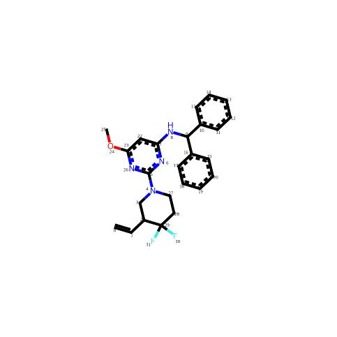 C=CC1CN(c2nc(NC(c3ccccc3)c3ccccc3)cc(OC)n2)CCC1(F)F